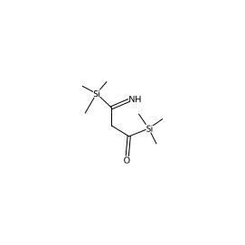 C[Si](C)(C)C(=N)CC(=O)[Si](C)(C)C